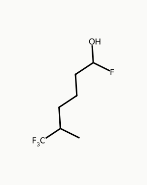 CC(CCCC(O)F)C(F)(F)F